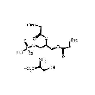 CCCCCCCCCCCC(=O)OCC(COP(=O)(O)O)OC(=O)CCCCCCCCCCC.NC(CO)C(=O)O